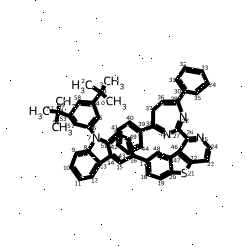 CC(C)(C)c1cc(-n2c3ccccc3c3cc(-c4ccc5sc6ccnc(C7=NC(c8ccccc8)=CCC(c8ccccc8)=N7)c6c5c4)ccc32)cc(C(C)(C)C)c1